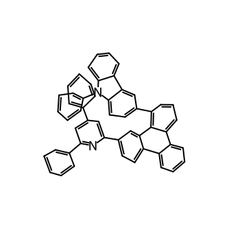 c1ccc(-c2cc(-c3ccccc3)nc(-c3ccc4c5ccccc5c5cccc(-c6ccc7c(c6)c6ccccc6n7-c6ccccc6)c5c4c3)c2)cc1